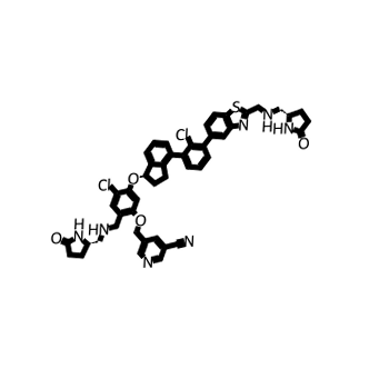 N#Cc1cncc(COc2cc(O[C@H]3CCc4c(-c5cccc(-c6ccc7sc(CNC[C@@H]8CCC(=O)N8)nc7c6)c5Cl)cccc43)c(Cl)cc2CNC[C@@H]2CCC(=O)N2)c1